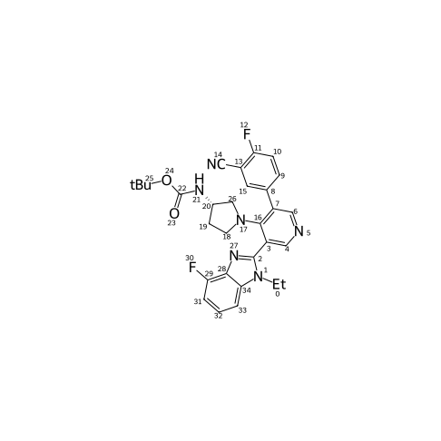 CCn1c(-c2cncc(-c3ccc(F)c(C#N)c3)c2N2CC[C@H](NC(=O)OC(C)(C)C)C2)nc2c(F)cccc21